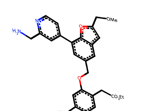 CCOC(=O)Cc1ccc(OC)cc1OCc1cc(-c2ccnc(CN)c2)c2oc(COC)cc2c1